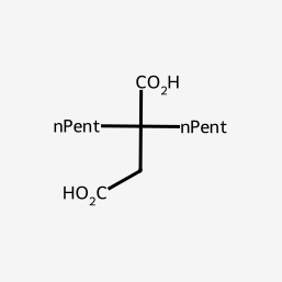 CCCCCC(CCCCC)(CC(=O)O)C(=O)O